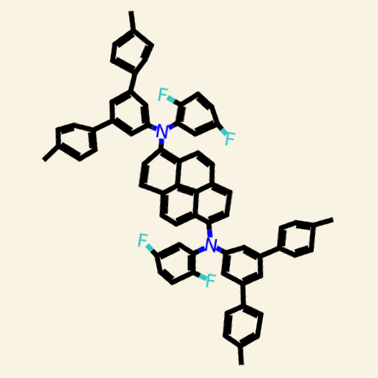 Cc1ccc(-c2cc(-c3ccc(C)cc3)cc(N(c3cc(F)ccc3F)c3ccc4ccc5c(N(c6cc(-c7ccc(C)cc7)cc(-c7ccc(C)cc7)c6)c6cc(F)ccc6F)ccc6ccc3c4c65)c2)cc1